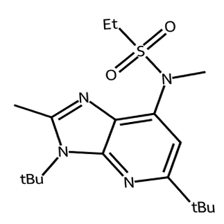 CCS(=O)(=O)N(C)c1cc(C(C)(C)C)nc2c1nc(C)n2C(C)(C)C